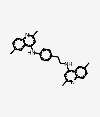 Cc1ccc2nc(C)cc(NCCc3ccc(Nc4cc(C)nc5ccc(C)cc45)cc3)c2c1